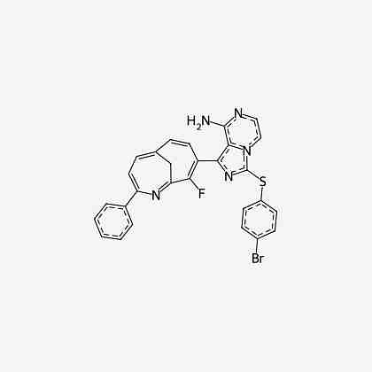 Nc1nccn2c(Sc3ccc(Br)cc3)nc(C3=C(F)C4=NC(c5ccccc5)=CC=C(C=C3)C4)c12